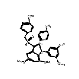 COc1ccc(CS(=O)(=O)C2c3cc(OC)cc(OC)c3[C@H](c3cc(OC)cc(OC)c3)[C@H]2c2ccc(C)cc2)cc1